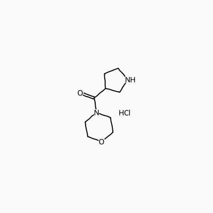 Cl.O=C(C1CCNC1)N1CCOCC1